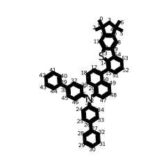 CC1(C)CC(C)(C)c2cc3c(cc21)sc1c(-c2cccc4c(N(c5ccc(-c6ccccc6)cc5)c5ccc(-c6ccccc6)cc5)cccc24)cccc13